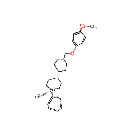 CCC[Si@]1(c2ccccc2)CC[C@@H](C2CCC(COc3ccc(OC(F)(F)F)cc3)CC2)CC1